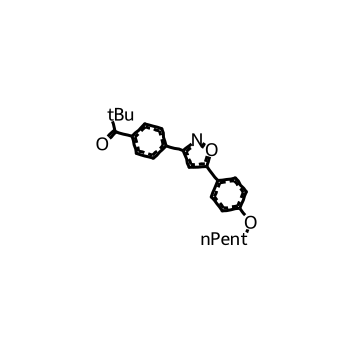 CCCCCOc1ccc(-c2cc(-c3ccc(C(=O)C(C)(C)C)cc3)no2)cc1